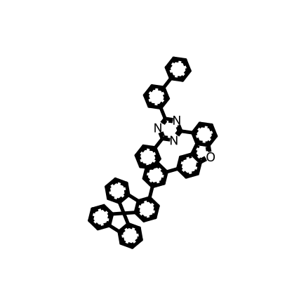 c1ccc(-c2cccc(-c3nc(-c4ccccc4)nc(-c4cccc5oc6ccc(-c7cccc(-c8cccc9c8-c8ccccc8C98c9ccccc9-c9ccccc98)c7)cc6c45)n3)c2)cc1